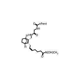 CCCCCC(=O)NCC(=O)NC[C@@H]1[C@H](C/C=C\CCCC(=O)N(C)O)[C@@H]2CC[C@H]1O2